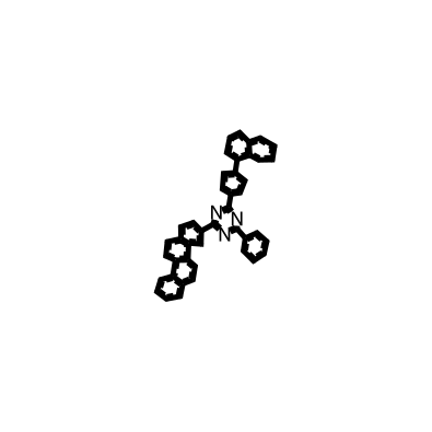 c1ccc(-c2nc(-c3ccc(-c4cccc5ccccc45)cc3)nc(-c3ccc4ccc5c6ccccc6ccc5c4c3)n2)cc1